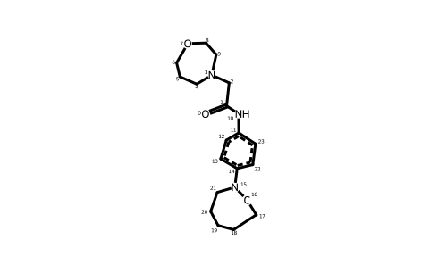 O=C(CN1CCCOCC1)Nc1ccc(N2CCCCCC2)cc1